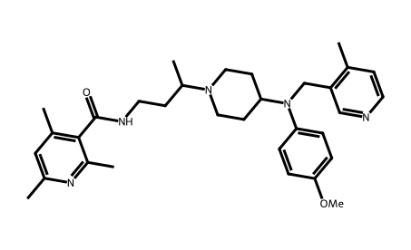 COc1ccc(N(Cc2cnccc2C)C2CCN(C(C)CCNC(=O)c3c(C)cc(C)nc3C)CC2)cc1